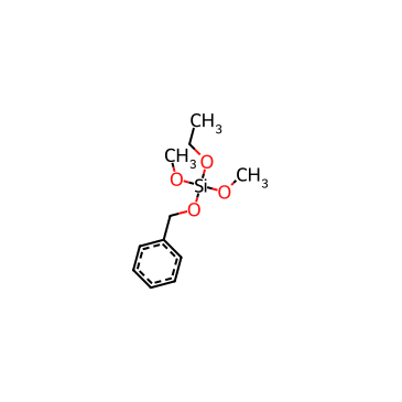 CCO[Si](OC)(OC)OCc1ccccc1